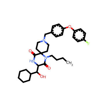 CCCCN1C(=O)C(C(O)C2CCCCC2)NC(=O)C12CCN(Cc1ccc(Oc3ccc(F)cc3)cc1)CC2